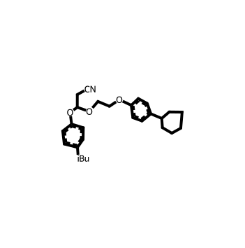 CCC(C)c1ccc(OC(CC#N)OCCOc2ccc(C3CCCCC3)cc2)cc1